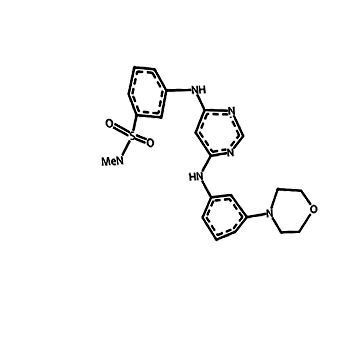 CNS(=O)(=O)c1cccc(Nc2cc(Nc3cccc(N4CCOCC4)c3)ncn2)c1